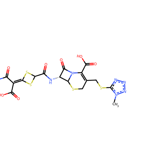 Cn1nnnc1SCC1=C(C(=O)O)N2C(=O)[C@@H](NC(=O)C3SC(=C(C(N)=O)C(=O)O)S3)C2SC1